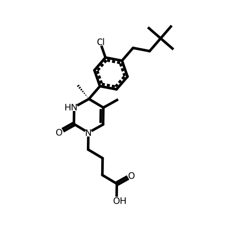 CC1=CN(CCCC(=O)O)C(=O)N[C@@]1(C)c1ccc(CCC(C)(C)C)c(Cl)c1